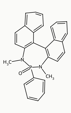 CN1c2ccc3ccccc3c2-c2c(ccc3ccccc23)N(C)P1(=O)c1ccccc1